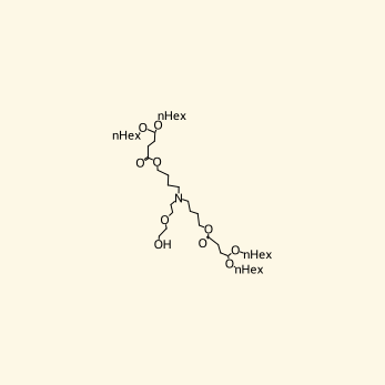 CCCCCCOC(CCC(=O)OCCCCN(CCCCOC(=O)CCC(OCCCCCC)OCCCCCC)CCOCCO)OCCCCCC